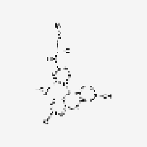 CCSCC(=O)Nc1ccc(-c2c3ccc(=O)cc-3oc3cc(O)ccc23)c(C(=O)O)c1